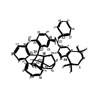 CC1(C)CCC(C)(C)c2cc(N(c3ccccc3)c3ccc4c(c3)C3(c5c(cccc5-c5ccccc5)S4)C4CC5CC6CC3C64C5)ccc21